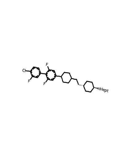 CCCCCCC[C@H]1CC[C@H](CCC2CCC(c3cc(F)c(-c4ccc(Cl)c(F)c4)c(F)c3)CC2)CC1